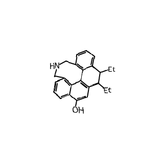 CCC1c2cccc3c2-c2c(cc(O)c4cccc(c24)CNC3)C1CC